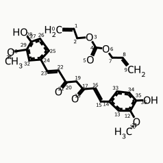 C=CCOC(=O)OCC=C.COc1cc(/C=C/C(=O)CC(=O)/C=C/c2ccc(O)c(OC)c2)ccc1O